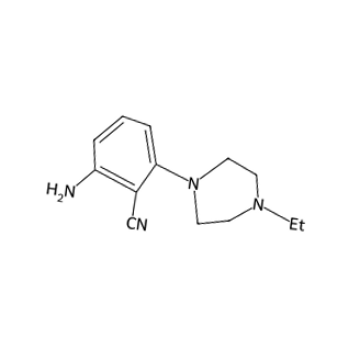 CCN1CCN(c2cccc(N)c2C#N)CC1